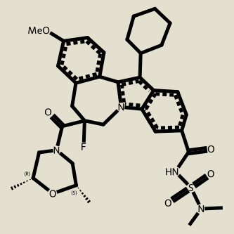 COc1ccc2c(c1)CC(F)(C(=O)N1C[C@@H](C)O[C@@H](C)C1)Cn1c-2c(C2CCCCC2)c2ccc(C(=O)NS(=O)(=O)N(C)C)cc21